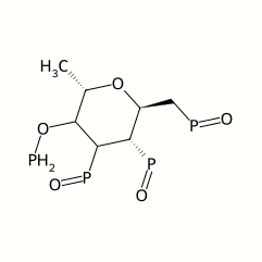 C[C@@H]1O[C@@H](CP=O)[C@H](P=O)C(P=O)C1OP